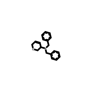 C1=CC(N(Cc2ccccc2)Cc2ccccc2)COC1